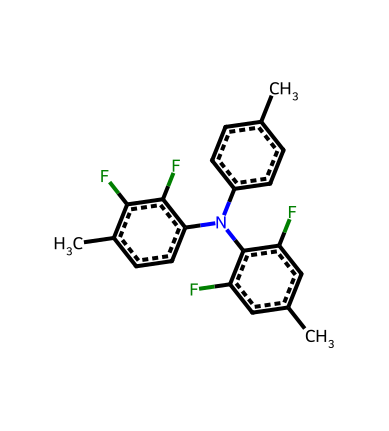 Cc1ccc(N(c2ccc(C)c(F)c2F)c2c(F)cc(C)cc2F)cc1